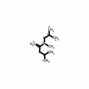 C=C(CC(C)C)N(C)CC(C)C